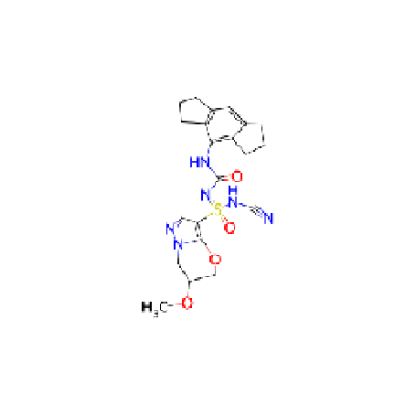 COC1COc2c(S(=O)(=NC(=O)Nc3c4c(cc5c3CCC5)CCC4)NC#N)cnn2C1